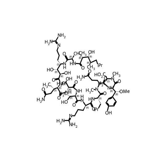 CO[C@H](c1ccc(O)cc1)[C@@H](NC(=O)[C@H](CCC(N)=O)N(C)C(=O)[C@H](CC(C)C)NC(=O)[C@@H](CCCN=C(N)N)NC(=O)[C@H](NC(=O)[C@H](NC(=O)[C@H](NC(=O)[C@H](O)[C@H](O)[C@H](CCCN=C(N)N)NC(=O)[C@@H](C)NC(=O)[C@H](C)[C@H](O)[C@H](C)CC(C)C)[C@@H](C)CC(N)=O)[C@@H](C)O)[C@@H](C)O)C(=O)N(C)[C@@H](C)C(=O)O